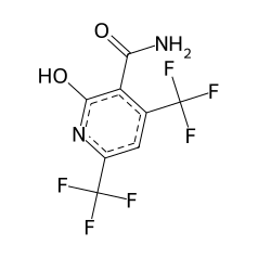 NC(=O)c1c(C(F)(F)F)cc(C(F)(F)F)nc1O